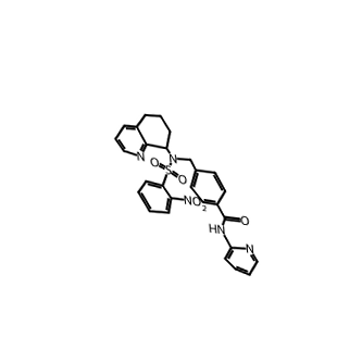 O=C(Nc1ccccn1)c1ccc(CN(C2CCCc3cccnc32)S(=O)(=O)c2ccccc2[N+](=O)[O-])cc1